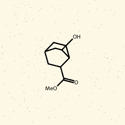 COC(=O)C1CC2CCC1C(O)C2